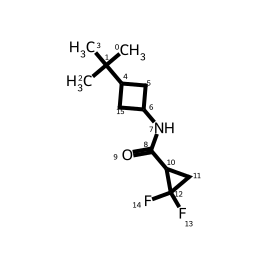 CC(C)(C)C1CC(NC(=O)C2CC2(F)F)C1